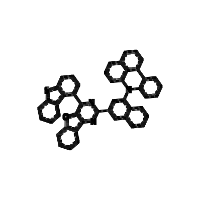 c1ccc2c(c1)-c1cccc3cccc(c13)N2c1cc(-c2nc(-c3cccc4sc5ccccc5c34)c3oc4ccccc4c3n2)cc2ccccc12